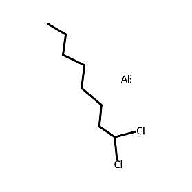 CCCCCCCC(Cl)Cl.[Al]